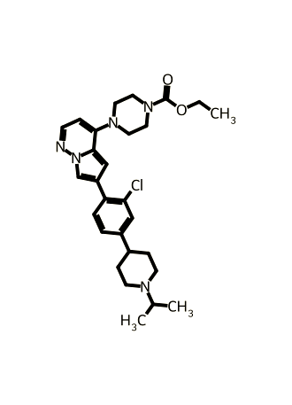 CCOC(=O)N1CCN(c2ccnn3cc(-c4ccc(C5CCN(C(C)C)CC5)cc4Cl)cc23)CC1